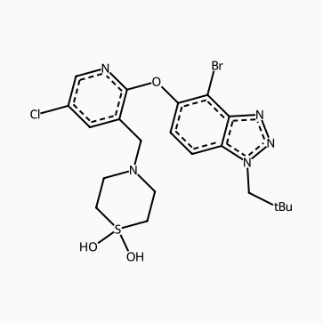 CC(C)(C)Cn1nnc2c(Br)c(Oc3ncc(Cl)cc3CN3CCS(O)(O)CC3)ccc21